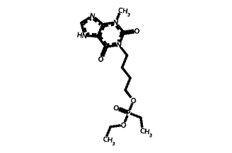 CCOP(=O)(CC)OCCCCn1c(=O)c2[nH]cnc2n(C)c1=O